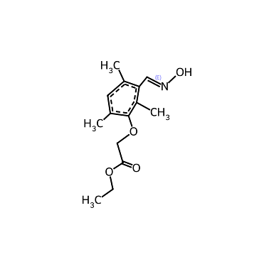 CCOC(=O)COc1c(C)cc(C)c(/C=N/O)c1C